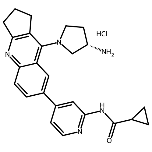 Cl.N[C@H]1CCN(c2c3c(nc4ccc(-c5ccnc(NC(=O)C6CC6)c5)cc24)CCC3)C1